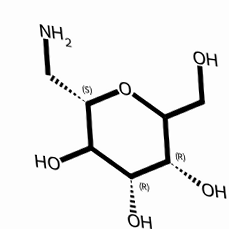 NC[C@@H]1OC(CO)[C@H](O)[C@H](O)C1O